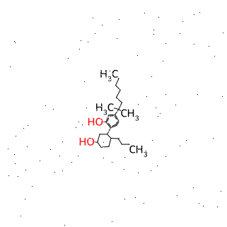 CCCCCCC(C)(C)c1ccc(C2CC(O)CCC2CCCC)c(O)c1